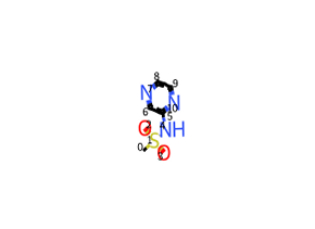 CS(=O)(=O)Nc1cnccn1